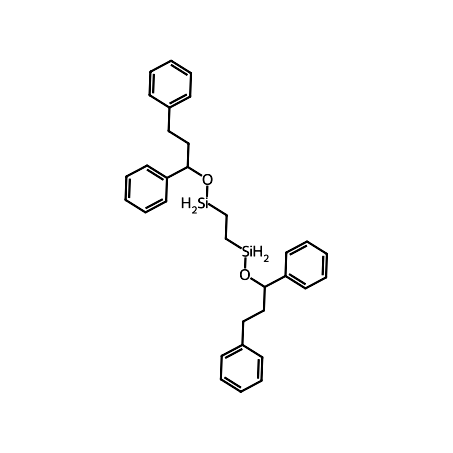 c1ccc(CCC(O[SiH2]CC[SiH2]OC(CCc2ccccc2)c2ccccc2)c2ccccc2)cc1